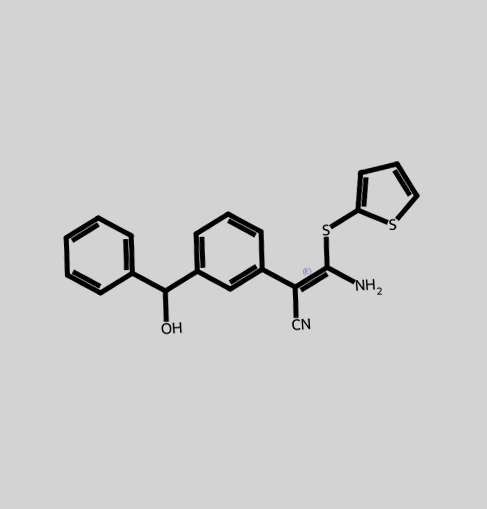 N#C/C(=C(\N)Sc1cccs1)c1cccc(C(O)c2ccccc2)c1